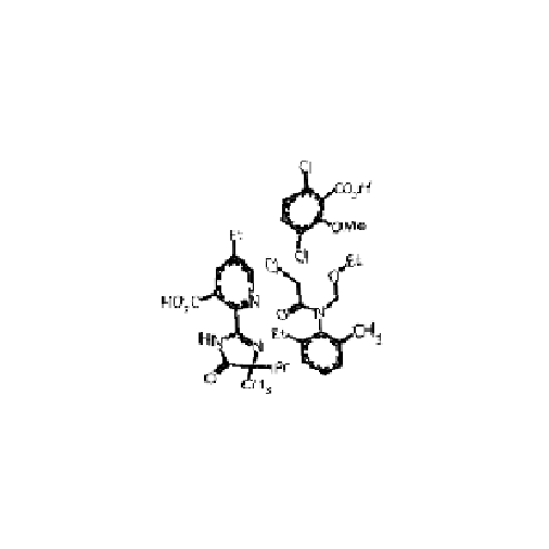 CCOCN(C(=O)CCl)c1c(C)cccc1CC.CCc1cnc(C2=NC(C)(C(C)C)C(=O)N2)c(C(=O)O)c1.COc1c(Cl)ccc(Cl)c1C(=O)O